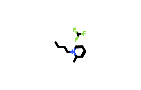 CCCCN1C=CC=CC1C.FC(F)F